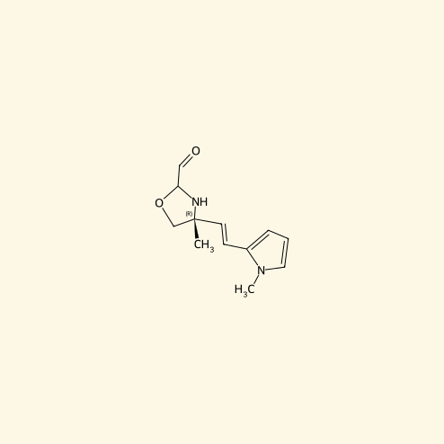 Cn1cccc1C=C[C@]1(C)COC(C=O)N1